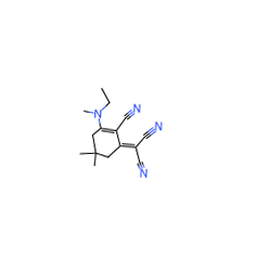 CCN(C)C1=C(C#N)C(=C(C#N)C#N)CC(C)(C)C1